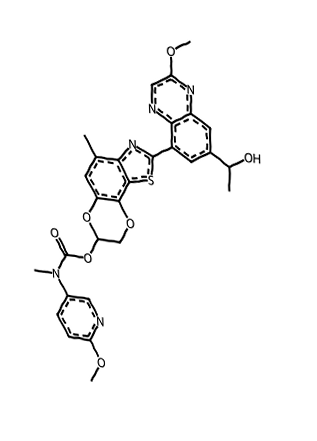 COc1ccc(N(C)C(=O)OC2COc3c(cc(C)c4nc(-c5cc(C(C)O)cc6nc(OC)cnc56)sc34)O2)cn1